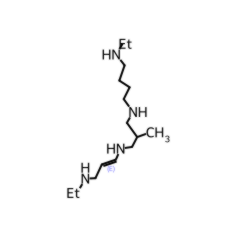 CCNC/C=C/NCC(C)CNCCCCNCC